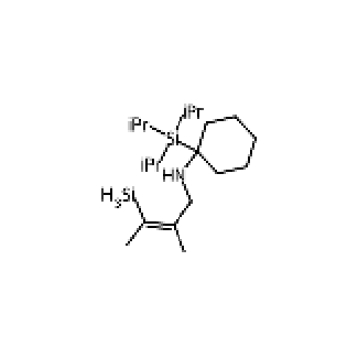 CC([SiH3])=C(C)CNC1([Si](C(C)C)(C(C)C)C(C)C)CCCCC1